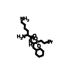 CC(C)CCP(=O)(O)C(CC1CCCCC1)NC(=O)C(N)CCCCN